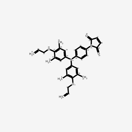 C=CCOc1c(C)cc(N(c2ccc(N3C(=O)C=CC3=O)cc2)c2cc(C)c(OCC=C)c(C)c2)cc1C